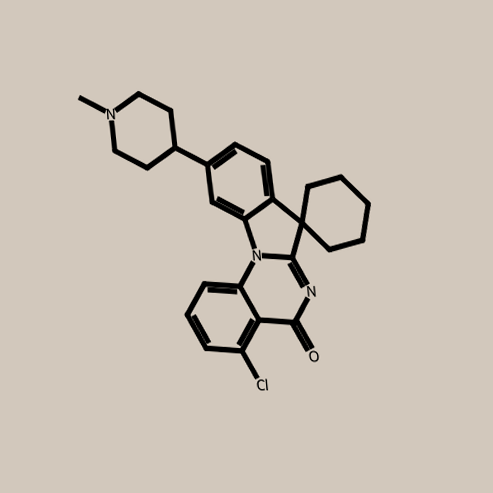 CN1CCC(c2ccc3c(c2)-n2c(nc(=O)c4c(Cl)cccc42)C32CCCCC2)CC1